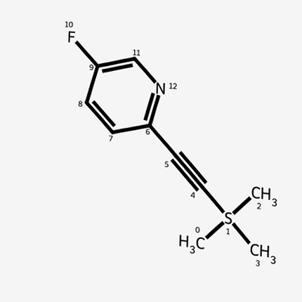 CS(C)(C)C#Cc1ccc(F)cn1